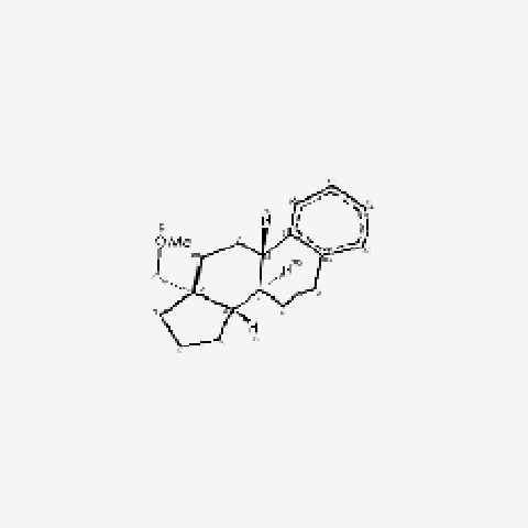 COC[C@@]12CCC[C@H]1[C@@H]1CCc3ccccc3[C@H]1CC2